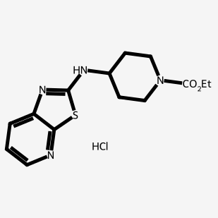 CCOC(=O)N1CCC(Nc2nc3cccnc3s2)CC1.Cl